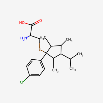 CC(C)C1C(C)C(C)C(SCC(N)C(=O)O)(c2ccc(Cl)cc2)C1C